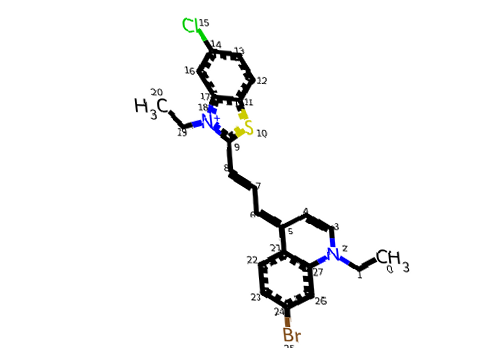 CCN1C=C/C(=C\C=C\c2sc3ccc(Cl)cc3[n+]2CC)c2ccc(Br)cc21